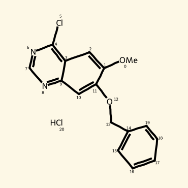 COc1cc2c(Cl)ncnc2cc1OCc1ccccc1.Cl